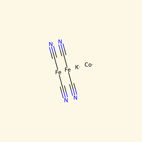 N#[C][Fe][C]#N.N#[C][Fe][C]#N.[Co].[K]